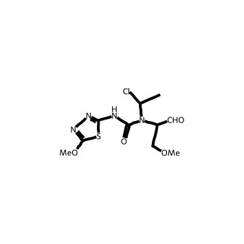 COCC(C=O)N(C(=O)Nc1nnc(OC)s1)C(C)Cl